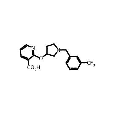 O=C(O)c1cccnc1OC1CCN(Cc2cccc(C(F)(F)F)c2)C1